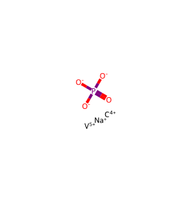 O=P([O-])([O-])[O-].[C+4].[Na+].[V+5]